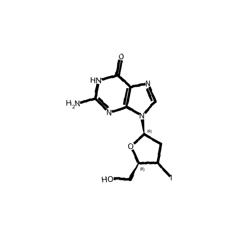 Nc1nc2c(ncn2[C@H]2CC(I)[C@@H](CO)O2)c(=O)[nH]1